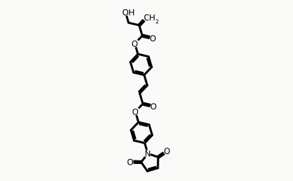 C=C(CO)C(=O)Oc1ccc(/C=C/C(=O)Oc2ccc(N3C(=O)C=CC3=O)cc2)cc1